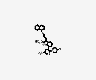 O=C1CCN(c2ncc([N+](=O)[O-])cc2-c2cccc3c(CCCOc4cccc5ccccc45)c(C(=O)O)[nH]c23)CC1